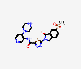 CS(=O)(=O)c1ccc2c(c1)C(=O)N(c1nnc(C(=O)Nc3cnccc3N3CCNCC3)s1)C2